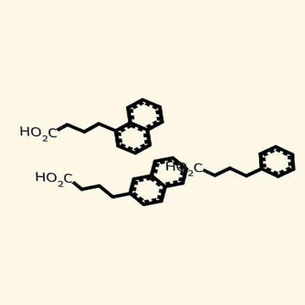 O=C(O)CCCc1ccc2ccccc2c1.O=C(O)CCCc1cccc2ccccc12.O=C(O)CCCc1ccccc1